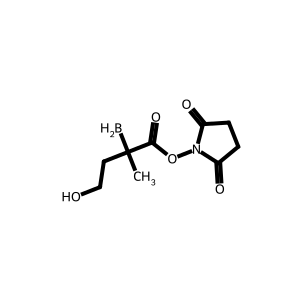 BC(C)(CCO)C(=O)ON1C(=O)CCC1=O